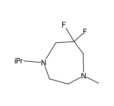 CC(C)N1CCN(C)CC(F)(F)C1